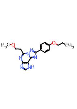 CCCOc1ccc(-c2nc3c4[nH]cnc4nc(CCOC)n3n2)cc1